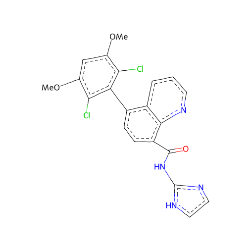 COc1cc(OC)c(Cl)c(-c2ccc(C(=O)Nc3ncc[nH]3)c3ncccc23)c1Cl